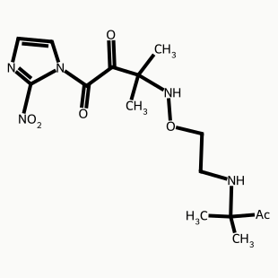 CC(=O)C(C)(C)NCCONC(C)(C)C(=O)C(=O)n1ccnc1[N+](=O)[O-]